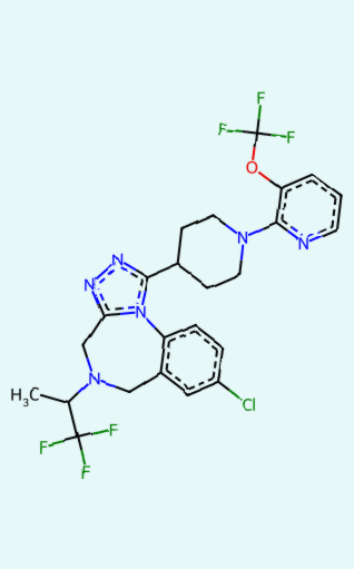 CC(N1Cc2cc(Cl)ccc2-n2c(nnc2C2CCN(c3ncccc3OC(F)(F)F)CC2)C1)C(F)(F)F